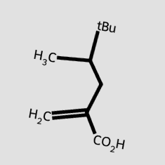 C=C(CC(C)C(C)(C)C)C(=O)O